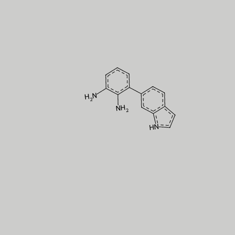 Nc1cccc(-c2ccc3cc[nH]c3c2)c1N